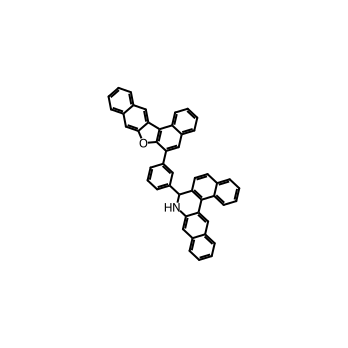 c1cc(-c2cc3ccccc3c3c2oc2cc4ccccc4cc23)cc(C2Nc3cc4ccccc4cc3-c3c2ccc2ccccc32)c1